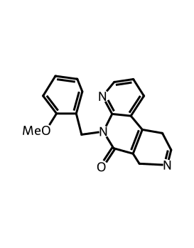 COc1ccccc1Cn1c(=O)c2c(c3cccnc31)CC=NC2